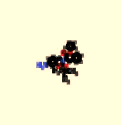 CC(C)(C)OC(=O)N(Cc1ccc(N)cc1)C(Cc1ccccc1)C(=O)OC1CCCC1